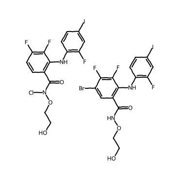 O=C(NOCCO)c1cc(Br)c(F)c(F)c1Nc1ccc(I)cc1F.O=C(c1ccc(F)c(F)c1Nc1ccc(I)cc1F)N(Cl)OCCO